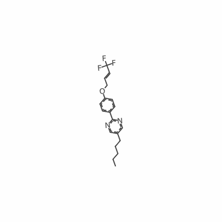 CCCCCc1cnc(-c2ccc(OCC=CC(F)(F)F)cc2)nc1